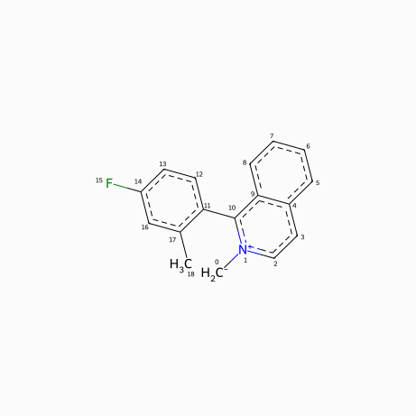 [CH2-][n+]1ccc2ccccc2c1-c1ccc(F)cc1C